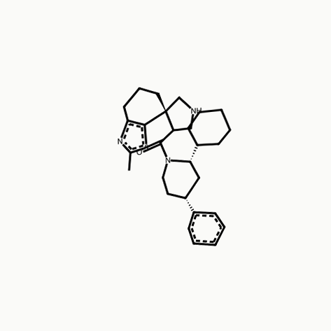 Cc1nc2c(s1)[C@]1(CCC2)CNCC1C(=O)N1CC[C@@H](c2ccccc2)C[C@H]1C1CCCCC1